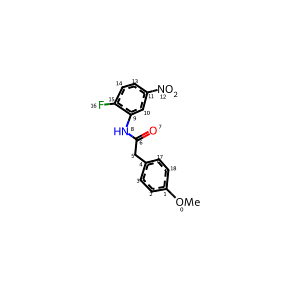 COc1ccc(CC(=O)Nc2cc([N+](=O)[O-])ccc2F)cc1